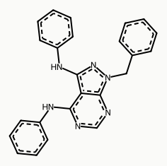 c1ccc(Cn2nc(Nc3ccccc3)c3c(Nc4ccccc4)ncnc32)cc1